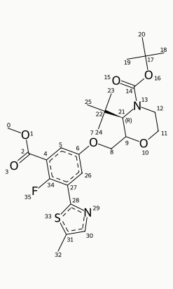 COC(=O)c1cc(OCC2OCCN(C(=O)OC(C)(C)C)[C@@H]2C(C)(C)C)cc(-c2ncc(C)s2)c1F